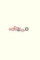 O=C(O)Cc1cc(COCc2ccccc2)no1